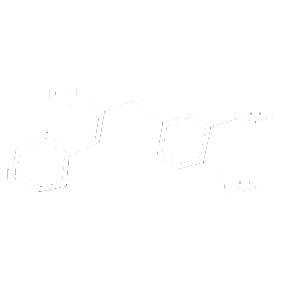 CCOC(=O)/C(=C\c1ccncc1)Cc1ccc(OC)c(OC)c1